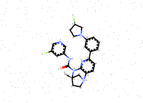 O=C(Nc1cncc(F)c1)N1c2nc(-c3cccc(N4CC[C@@H](F)C4)c3)ccc2N2CC[C@H]1C2